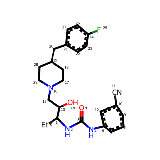 CCC(NC(=O)Nc1cccc(C#N)c1)C(O)CN1CCC(Cc2ccc(F)cc2)CC1